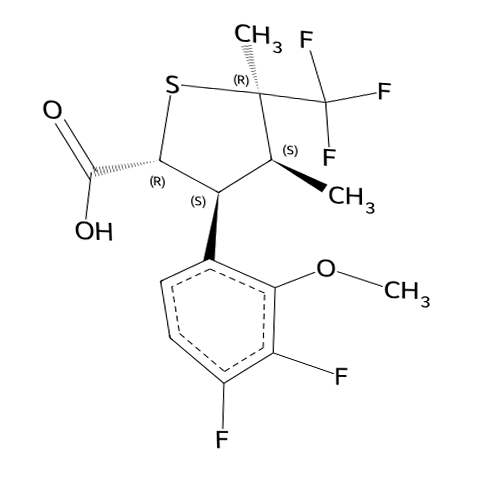 COc1c([C@H]2[C@H](C(=O)O)S[C@@](C)(C(F)(F)F)[C@H]2C)ccc(F)c1F